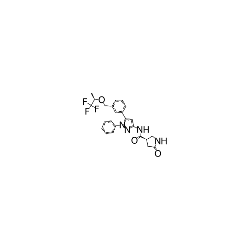 C[C@@H](OCc1cccc(-c2cc(NC(=O)[C@H]3CNC(=O)C3)nn2-c2ccccc2)c1)C(F)(F)F